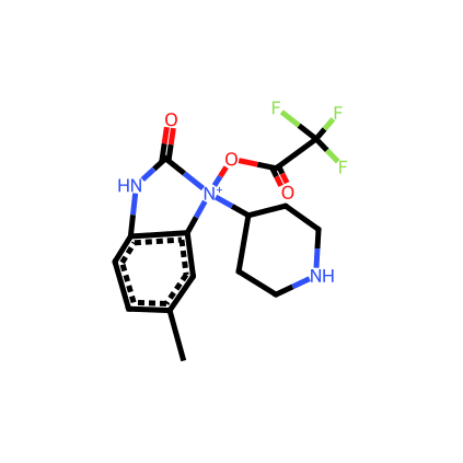 Cc1ccc2c(c1)[N+](OC(=O)C(F)(F)F)(C1CCNCC1)C(=O)N2